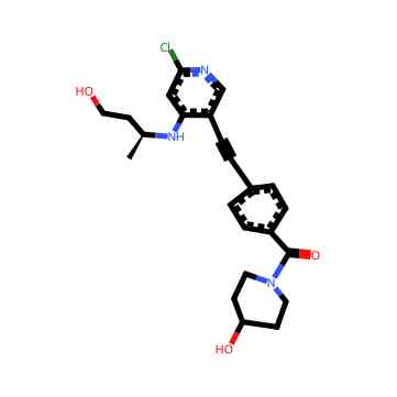 C[C@@H](CCO)Nc1cc(Cl)ncc1C#Cc1ccc(C(=O)N2CCC(O)CC2)cc1